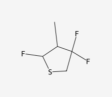 CC1C(F)SCC1(F)F